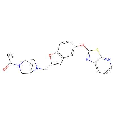 CC(=O)N1CC2CC1CN2Cc1cc2cc(Oc3nc4cccnc4s3)ccc2o1